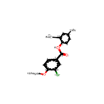 CCCCCCCOc1ccc(C(=O)Oc2ccc(CCCC)cc2C#N)cc1Br